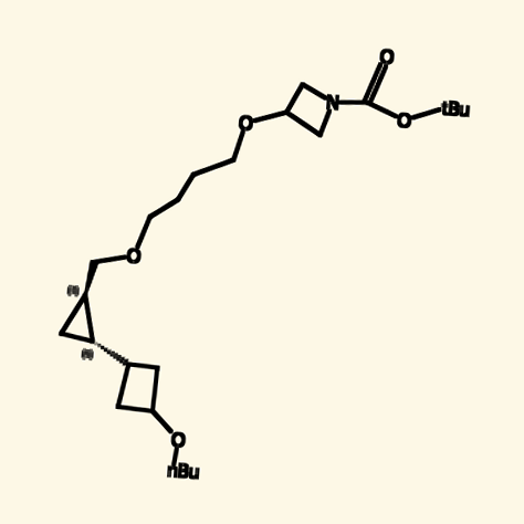 CCCCOC1CC([C@@H]2C[C@H]2COCCCCOC2CN(C(=O)OC(C)(C)C)C2)C1